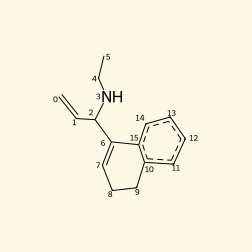 C=CC(NCC)C1=CCCc2ccccc21